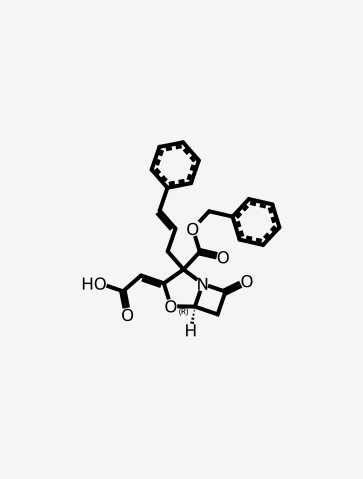 O=C(O)C=C1O[C@@H]2CC(=O)N2C1(CC=Cc1ccccc1)C(=O)OCc1ccccc1